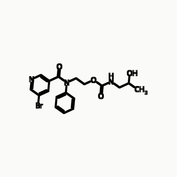 CC(O)CNC(=O)OCCN(C(=O)c1cncc(Br)c1)c1ccccc1